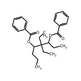 CCCC(OC(=O)c1ccccc1)C(CC)(CC)C(CC)OC(=O)c1ccccc1